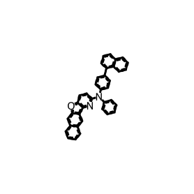 c1ccc(N(c2ccc(-c3cccc4ccccc34)cc2)c2ccc3oc4cc5ccccc5cc4c3n2)cc1